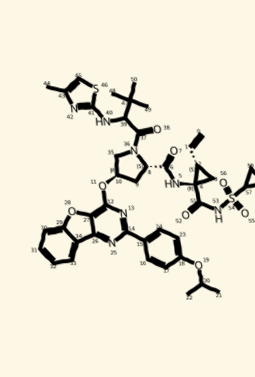 C=C[C@@H]1C[C@]1(NC(=O)[C@@H]1C[C@@H](Oc2nc(-c3ccc(OC(C)C)cc3)nc3c2oc2ccccc23)CN1C(=O)C(Nc1nc(C)cs1)C(C)(C)C)C(=O)NS(=O)(=O)C1CC1